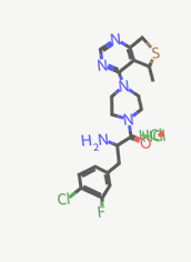 CC1SCc2ncnc(N3CCN(C(=O)C(N)Cc4ccc(Cl)c(F)c4)CC3)c21.Cl.Cl